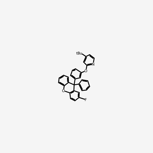 CC(C)(C)c1ccnc(Oc2cccc(C3(c4ccccc4)c4ccccc4Oc4ccc(F)cc43)c2)c1